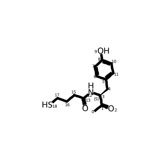 CC(=O)[C@H](Cc1ccc(O)cc1)NC(=O)CCCS